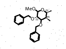 COC1O[C@@H](C)[C@@H](C)C(OCc2ccccc2)[C@@H]1OCc1ccccc1